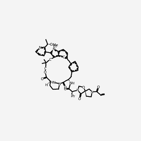 C=CC(=O)N1CC[C@]2(C1)OCN([C@H](C(=O)N[C@H]1Cc3cccc(c3)-c3ccc4c(c3)c(c(-c3cccnc3[C@H](C)OC)n4CC)CC(C)(C)COC(=O)[C@@H]3CCCN(N3)C1=O)C(C)C)C2=O